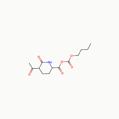 CCCCOC(=O)OC(=O)C1CCC(C(C)=O)C(=O)N1